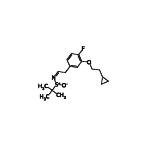 CC(C)(C)[S+]([O-])/N=C\Cc1ccc(F)c(OCCC2CC2)c1